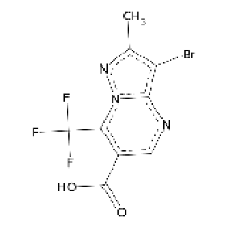 Cc1nn2c(C(F)(F)F)c(C(=O)O)cnc2c1Br